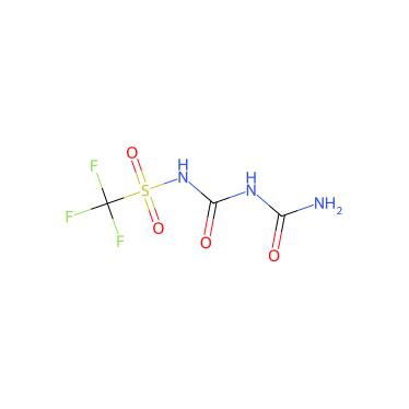 NC(=O)NC(=O)NS(=O)(=O)C(F)(F)F